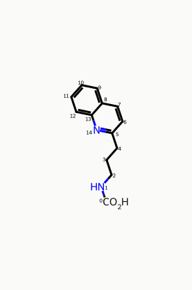 O=C(O)NCCCc1ccc2ccccc2n1